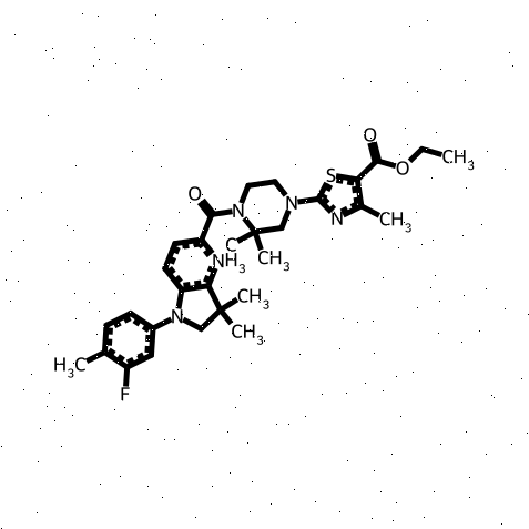 CCOC(=O)c1sc(N2CCN(C(=O)c3ccc4c(n3)C(C)(C)CN4c3ccc(C)c(F)c3)C(C)(C)C2)nc1C